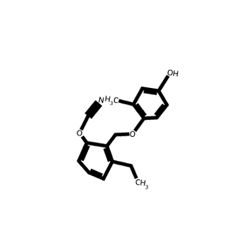 CCc1cccc(OC#N)c1COc1ccc(O)cc1C